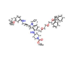 CC(C)(C)OC(=O)N1CC[C@@H](Nc2cccc3c2cc(C#CCNc2cccc(O[Si](C)(C)C(C)(C)C)c2)n3CC(F)(F)F)[C@H](CCOCCOCCO[Si](c2ccccc2)(c2ccccc2)C(C)(C)C)C1